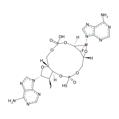 Nc1ncnc2c1ncn2[C@@H]1O[C@@H]2COP(=O)(O)O[C@@H]3[C@@H](F)[C@@H](COP(=O)(S)O[C@H]2[C@H]1F)O[C@H]3n1cnc2c(N)ncnc21